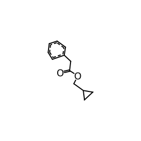 O=C(Cc1ccccc1)OCC1CC1